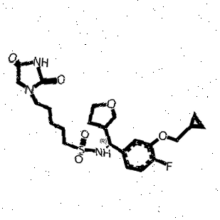 O=C1CN(CCCCCS(=O)(=O)N[C@@H](c2ccc(F)c(OCC3CC3)c2)C2CCOC2)C(=O)N1